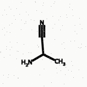 C[C](N)C#N